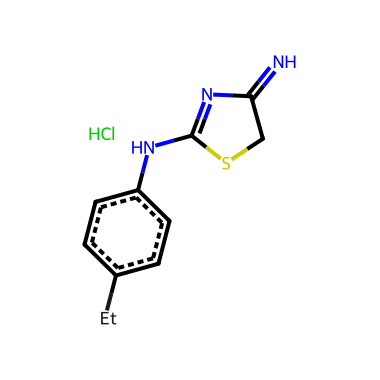 CCc1ccc(NC2=NC(=N)CS2)cc1.Cl